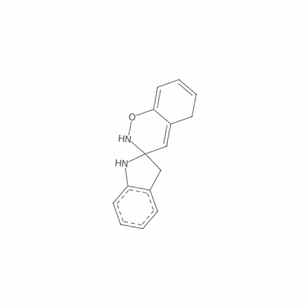 C1=CCC2=CC3(Cc4ccccc4N3)NOC2=C1